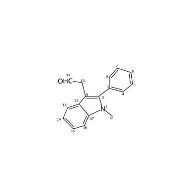 Cn1c(-c2ccccc2)c(CC=O)c2ccccc21